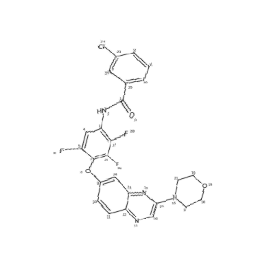 O=C(Nc1cc(F)c(Oc2ccc3ncc(N4CCOCC4)nc3c2)c(F)c1F)c1cccc(Cl)c1